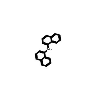 c1ccc2[c]([Mo][c]3cccc4ccccc34)cccc2c1